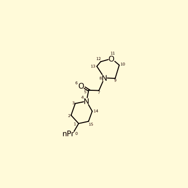 CCCC1CCN(C(=O)CN2CCOCC2)CC1